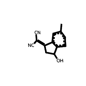 Cc1ccc2c(c1)C(=C(C#N)C#N)CC2O